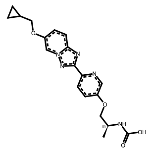 C[C@@H](COc1ccc(-c2nc3ccc(OCC4CC4)cn3n2)nc1)NC(=O)O